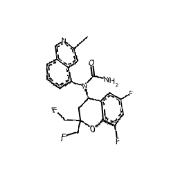 Cc1cc2c(N(C(N)=O)[C@@H]3CC(CF)(CF)Oc4c(F)cc(F)cc43)cccc2cn1